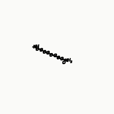 CNCCOCCOCCOCCOCCOCCOCCOCCOCCC(N)=O